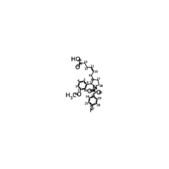 COc1cccc(C2C(C/C=C\CCC(=O)O)CCN2S(=O)(=O)c2ccc(F)cc2)c1